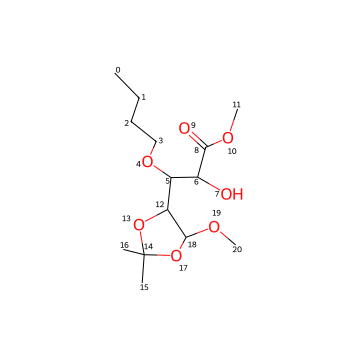 CCCCOC(C(O)C(=O)OC)C1OC(C)(C)OC1OC